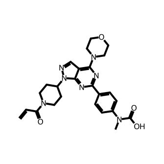 C=CC(=O)N1CCC(n2ncc3c(N4CCOCC4)nc(-c4ccc(N(C)C(=O)O)cc4)nc32)CC1